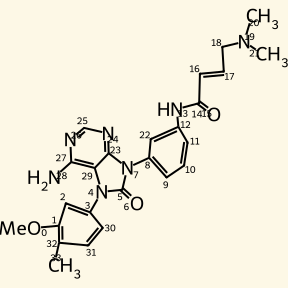 COc1cc(-n2c(=O)n(-c3cccc(NC(=O)/C=C/CN(C)C)c3)c3ncnc(N)c32)ccc1C